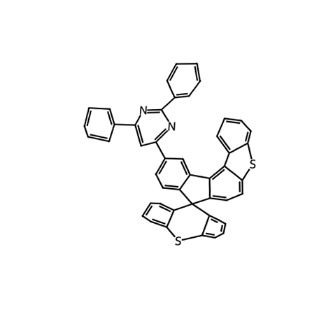 c1ccc(-c2cc(-c3ccc4c(c3)-c3c(ccc5sc6ccccc6c35)C43c4ccccc4Sc4ccccc43)nc(-c3ccccc3)n2)cc1